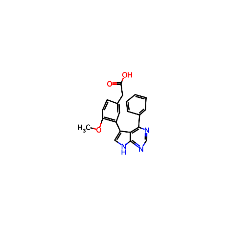 COc1ccc(CC(=O)O)cc1-c1c[nH]c2ncnc(-c3ccccc3)c12